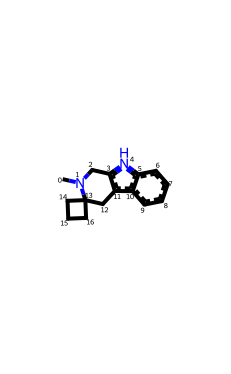 CN1Cc2[nH]c3ccccc3c2CC12CCC2